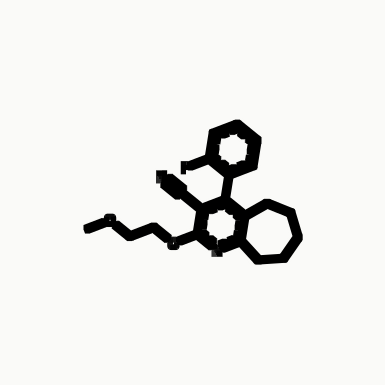 COCCOc1nc2c(c(-c3ccccc3F)c1C#N)CCCCC2